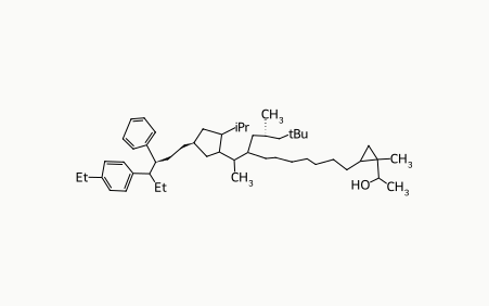 CCc1ccc(C(CC)[C@H](CC[C@H]2CC(C(C)C)C(C(C)C(CCCCCCCC3CC3(C)C(C)O)C[C@H](C)CC(C)(C)C)C2)c2ccccc2)cc1